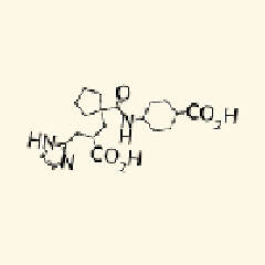 O=C(O)C1CCC(NC(=O)C2(CC(Cc3ncc[nH]3)C(=O)O)CCCC2)CC1